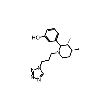 C[C@H]1CCN(CCCn2cnnn2)C(c2cccc(O)c2)[C@@H]1C